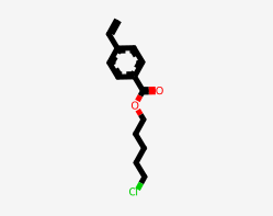 C=Cc1ccc(C(=O)OCCCCCCl)cc1